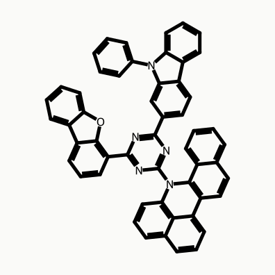 c1ccc(-n2c3ccccc3c3ccc(-c4nc(-c5cccc6c5oc5ccccc56)nc(N5c6c(ccc7ccccc67)-c6cccc7cccc5c67)n4)cc32)cc1